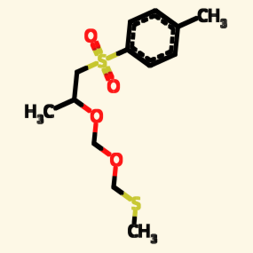 CSCOCOC(C)CS(=O)(=O)c1ccc(C)cc1